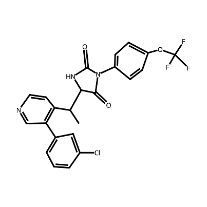 CC(c1ccncc1-c1cccc(Cl)c1)C1NC(=O)N(c2ccc(OC(F)(F)F)cc2)C1=O